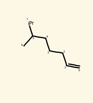 C=CCCCC(C)C(C)C